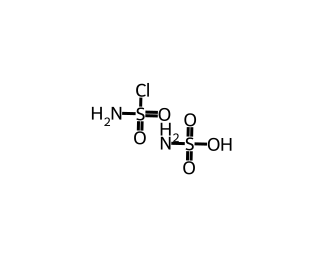 NS(=O)(=O)Cl.NS(=O)(=O)O